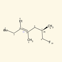 CC/C(CC(C)CC)=C(/C)C[C@@H](C)CF